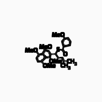 COc1cccc(C(=O)SC(CC=C(C)C)c2cc(OC)c3c(OC)ccc(OC)c3c2OC)c1